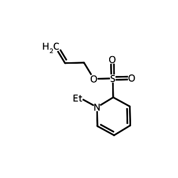 C=CCOS(=O)(=O)C1C=CC=CN1CC